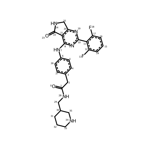 O=C(Cc1ccc(Nc2nc(-c3c(F)cccc3F)nc3c2C(=O)NC3)cc1)NCC1CCCNC1